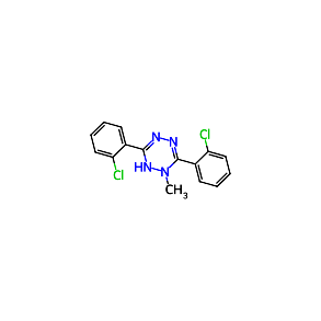 CN1NC(c2ccccc2Cl)=NN=C1c1ccccc1Cl